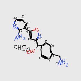 NCc1ccc(Cc2cc(-c3cccnc3N)on2)cc1.O=CO